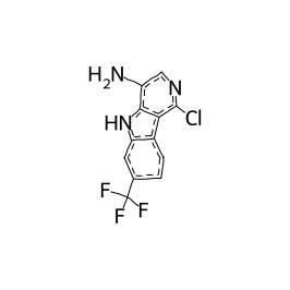 Nc1cnc(Cl)c2c1[nH]c1cc(C(F)(F)F)ccc12